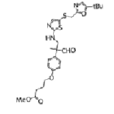 COC(=O)CCCOc1ccc(C(C)(C=O)CNc2ncc(SCc3ncc(C(C)(C)C)o3)s2)cc1